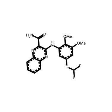 COc1cc(OC(F)F)cc(Nc2nc3ccccc3nc2C(N)=O)c1OC